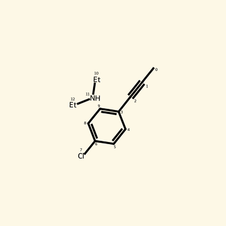 CC#Cc1ccc(Cl)cc1.CCNCC